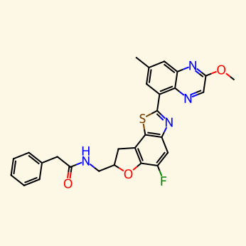 COc1cnc2c(-c3nc4cc(F)c5c(c4s3)CC(CNC(=O)Cc3ccccc3)O5)cc(C)cc2n1